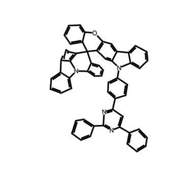 c1ccc(-c2cc(-c3ccc(-n4c5ccccc5c5cc6c(cc54)C4(c5ccccc5O6)c5ccccc5-n5c6ccccc6c6cccc4c65)cc3)nc(-c3ccccc3)n2)cc1